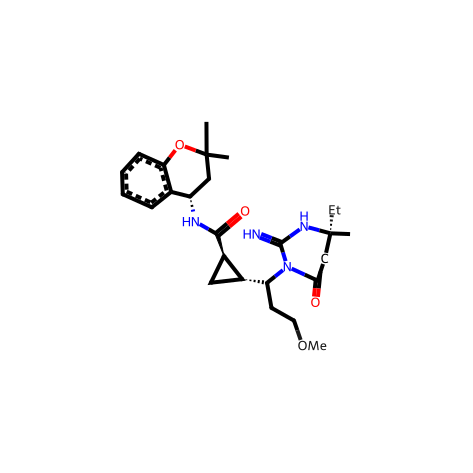 CC[C@]1(C)CC(=O)N(C(CCOC)[C@@H]2C[C@H]2C(=O)N[C@H]2CC(C)(C)Oc3ccccc32)C(=N)N1